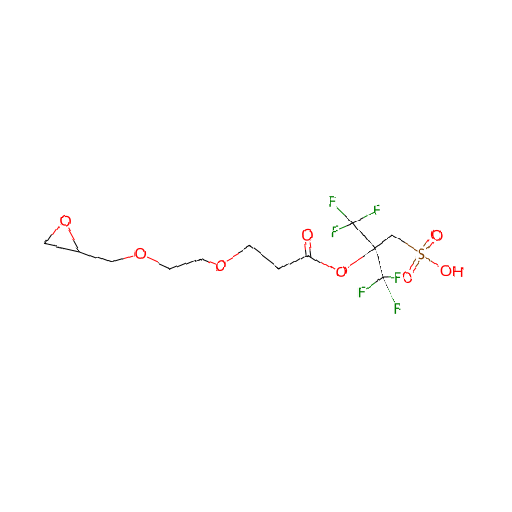 O=C(CCOCCOCC1CO1)OC(CS(=O)(=O)O)(C(F)(F)F)C(F)(F)F